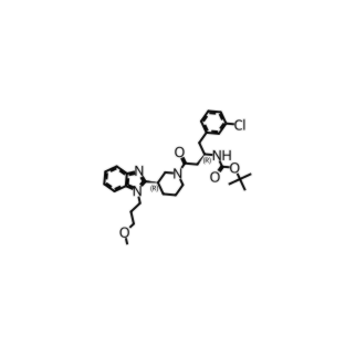 COCCCn1c([C@@H]2CCCN(C(=O)C[C@@H](Cc3cccc(Cl)c3)NC(=O)OC(C)(C)C)C2)nc2ccccc21